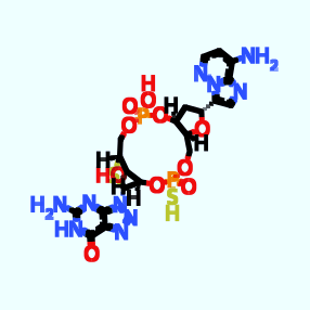 Nc1nc2c(nnn2[C@@H]2S[C@@H]3COP(=O)(O)O[C@H]4C[C@H](c5cnc6c(N)ccnn56)O[C@@H]4COP(=O)(S)O[C@@H]2[C@@H]3O)c(=O)[nH]1